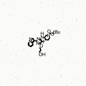 CC(C)(C)OC(=O)N1CCC[C@@H](Nc2nc(-c3cnn4ccccc34)nc(OCCCO)c2F)C1